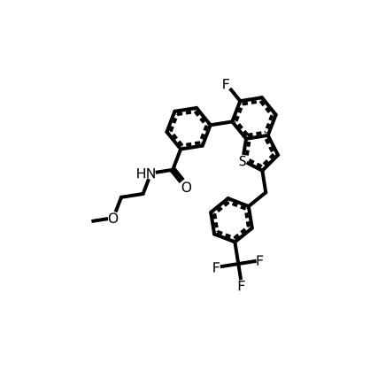 COCCNC(=O)c1cccc(-c2c(F)ccc3cc(Cc4cccc(C(F)(F)F)c4)sc23)c1